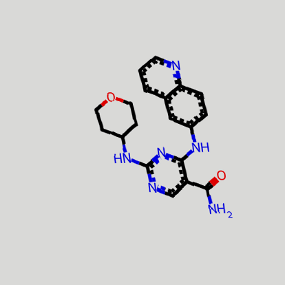 NC(=O)c1cnc(NC2CCOCC2)nc1Nc1ccc2ncccc2c1